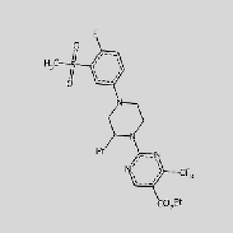 CCOC(=O)c1cnc(N2CCN(c3ccc(F)c(S(C)(=O)=O)c3)CC2C(C)C)nc1C(F)(F)F